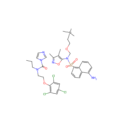 CCCN(CCOc1c(Cl)cc(Cl)cc1Cl)C(=O)n1ccnc1.Cc1noc(N(COCC[Si](C)(C)C)S(=O)(=O)c2cccc3c(N)cccc23)c1C